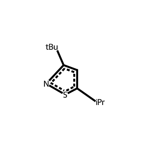 CC(C)c1cc(C(C)(C)C)ns1